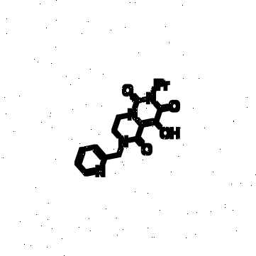 CC(C)n1c(=O)c(O)c2n(c1=O)CCN(Cc1ccccn1)C2=O